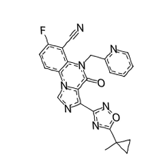 CC1(c2nc(-c3ncn4c3c(=O)n(Cc3ccccn3)c3c(C#N)c(F)ccc34)no2)CC1